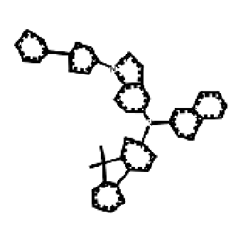 CC1(C)c2ccccc2-c2ccc(N(c3ccc4ccccc4c3)c3ccc4c(ccn4-c4ccc(-c5ccccc5)cc4)c3)cc21